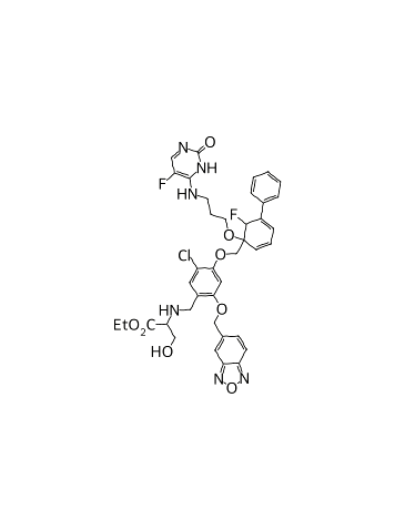 CCOC(=O)C(CO)NCc1cc(Cl)c(OCC2(OCCCNc3[nH]c(=O)ncc3F)C=CC=C(c3ccccc3)C2F)cc1OCc1ccc2nonc2c1